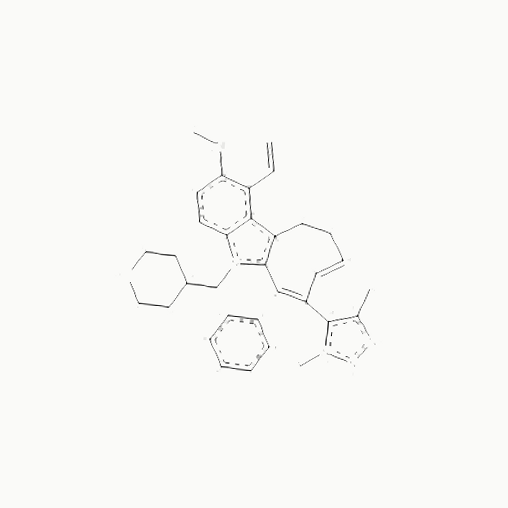 C=Cc1c(NC)ccc2c1c1c(n2[C@H](c2ccccc2)C2CCOCC2)/C=C(c2c(C)nnn2C)\C=C\CC1